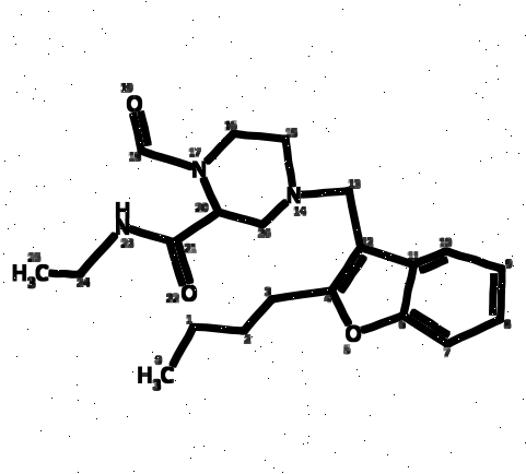 CCCCc1oc2ccccc2c1CN1CCN(C=O)C(C(=O)NCC)C1